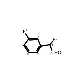 O=[C]C(F)c1cccc(F)c1